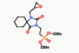 COOP(=O)(CCN1C(=O)N(CC2CO2)C2(CCCCC2)C1=O)OOC